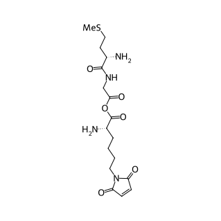 CSCC[C@H](N)C(=O)NCC(=O)OC(=O)[C@@H](N)CCCCN1C(=O)C=CC1=O